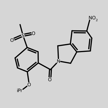 CC(C)Oc1ccc(S(C)(=O)=O)cc1C(=O)N1Cc2ccc([N+](=O)[O-])cc2C1